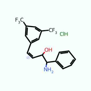 Cl.NC(c1ccccc1)C(O)/C=C\c1cc(C(F)(F)F)cc(C(F)(F)F)c1